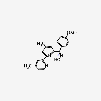 COc1ccc(/C(=N/O)c2cc(C)cc(-c3cc(C)ccn3)n2)cc1